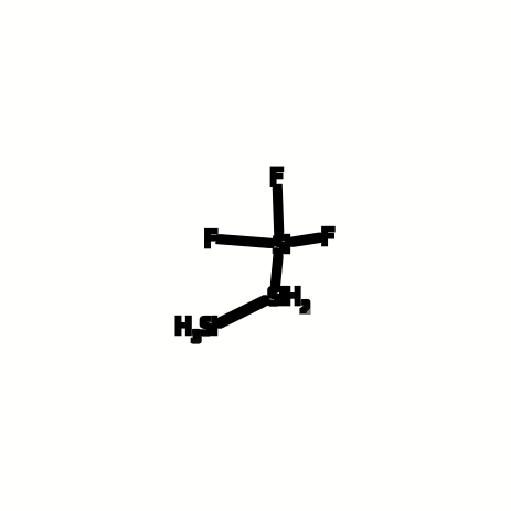 F[Si](F)(F)[SiH2][SiH3]